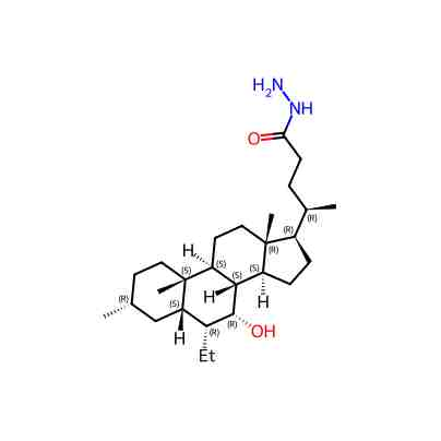 CC[C@H]1[C@@H](O)[C@@H]2[C@H](CC[C@]3(C)[C@@H]([C@H](C)CCC(=O)NN)CC[C@@H]23)[C@@]2(C)CC[C@@H](C)C[C@@H]12